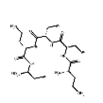 CC(C)C[C@H](NC(=O)[C@H](CCN)NC(=O)[C@H](CC(C)C)NC(=O)[C@@H](CC(C)C)NC(=O)[C@@H](N)CCN)C(=O)O